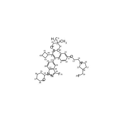 CC1(C)COB(/C(=C(\c2ccc(OCCN3CCC(CF)C3)cc2)c2ccc3c(c2)c(F)nn3C2CCCCO2)C2CCC2)OC1